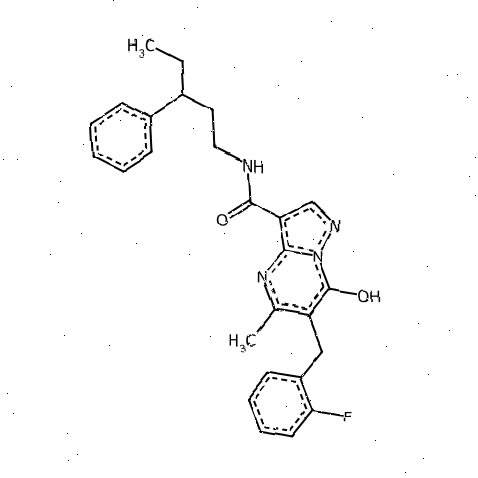 CCC(CCNC(=O)c1cnn2c(O)c(Cc3ccccc3F)c(C)nc12)c1ccccc1